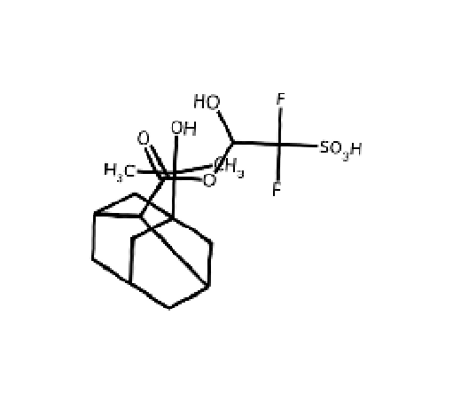 CC(C)(O)C12CC3CC(C1)C(C(=O)OC(O)C(F)(F)S(=O)(=O)O)C(C3)C2